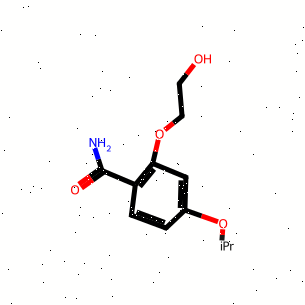 CC(C)Oc1ccc(C(N)=O)c(OCCO)c1